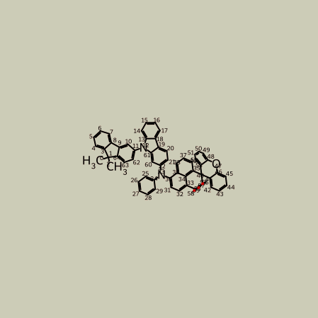 CC1(C)c2ccccc2-c2cc(-n3c4ccccc4c4ccc(N(c5ccccc5)c5ccc6c7c(cccc57)C5(c7ccccc7Oc7ccccc75)c5ccccc5-6)cc43)ccc21